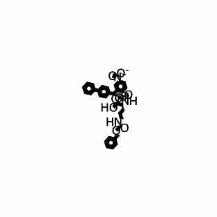 O=C(NCCC[C@H](NS(=O)(=O)c1ccc([N+](=O)[O-])cc1Cc1ccc(-c2ccccc2)cc1)C(=O)O)OCc1ccccc1